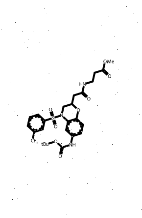 COC(=O)CCNC(=O)CC1CN(S(=O)(=O)c2cccc(C(F)(F)F)c2)c2cc(NC(=O)OC(C)(C)C)ccc2O1